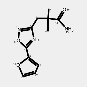 CC(C)([CH]c1noc(-c2ccco2)n1)C(N)=O